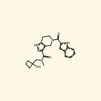 CN(CC1(O)CCC1)C(=O)c1n[nH]c2c1CN(C(=O)c1cc3ccccc3[nH]1)CC2